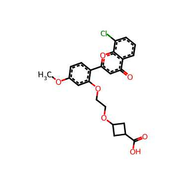 COc1ccc(-c2cc(=O)c3cccc(Cl)c3o2)c(OCCOC2CC(C(=O)O)C2)c1